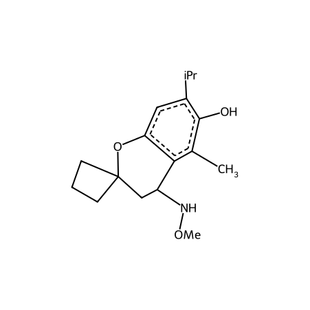 CONC1CC2(CCC2)Oc2cc(C(C)C)c(O)c(C)c21